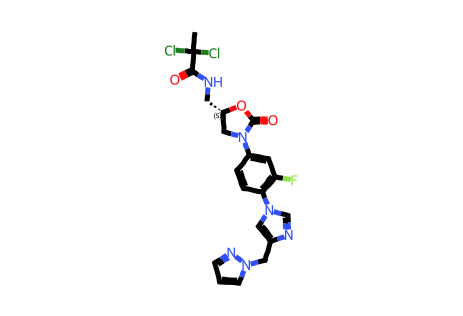 CC(Cl)(Cl)C(=O)NC[C@H]1CN(c2ccc(-n3cnc(Cn4cccn4)c3)c(F)c2)C(=O)O1